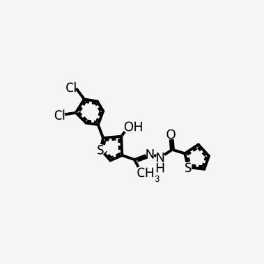 CC(=NNC(=O)c1cccs1)c1csc(-c2ccc(Cl)c(Cl)c2)c1O